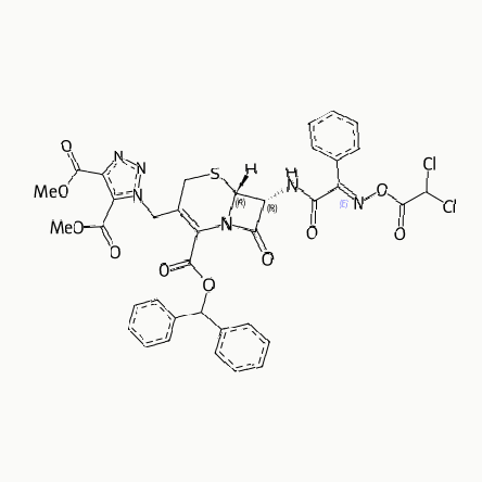 COC(=O)c1nnn(CC2=C(C(=O)OC(c3ccccc3)c3ccccc3)N3C(=O)[C@@H](NC(=O)/C(=N/OC(=O)C(Cl)Cl)c4ccccc4)[C@H]3SC2)c1C(=O)OC